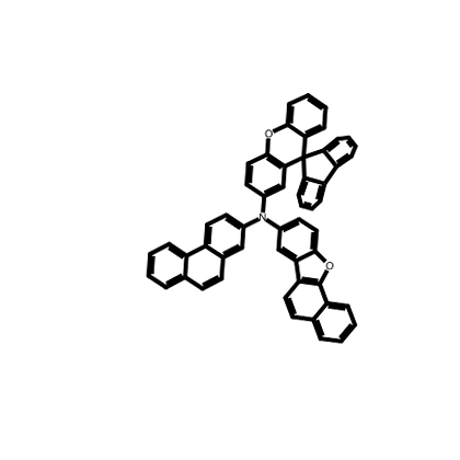 c1ccc2c(c1)Oc1ccc(N(c3ccc4c(ccc5ccccc54)c3)c3ccc4oc5c6ccccc6ccc5c4c3)cc1C21c2ccccc2-c2ccccc21